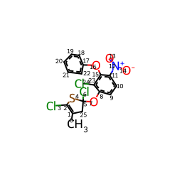 CC1=C(Cl)SC(Cl)(Oc2ccc([N+](=O)[O-])c(Oc3ccccc3)c2Cl)C1